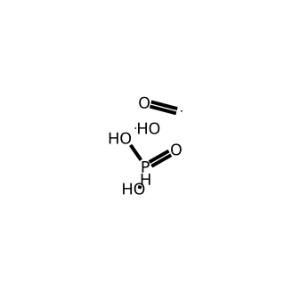 O=[PH](O)O.[CH]=O.[OH]